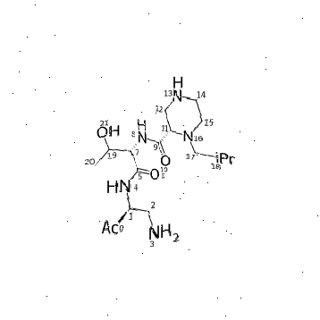 CC(=O)[C@H](CN)NC(=O)[C@@H](NC(=O)[C@@H]1CNCCN1CC(C)C)C(C)O